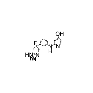 Oc1ccnc(Nc2cccc(C(F)(F)Cc3nnn[nH]3)c2)c1